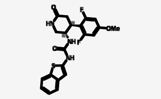 COc1cc(F)c([C@@H]2CC(=O)NC[C@H]2NC(=O)Nc2cc3ccccc3s2)c(F)c1